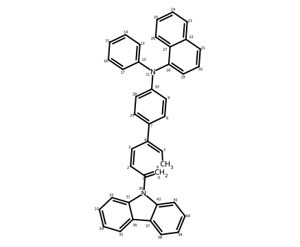 C=C(/C=C\C(=C/C)c1ccc(N(c2ccccc2)c2cccc3ccccc23)cc1)n1c2ccccc2c2ccccc21